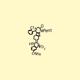 CCCC(C)N1C(=O)CN=C(c2ccccc2Cl)c2c1sc1c2CCN(C(=S)Nc2ccc(OC)cc2[N+](=O)[O-])C1